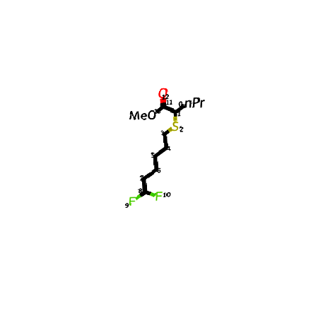 CCCC(SCCCCCC(F)F)C(=O)OC